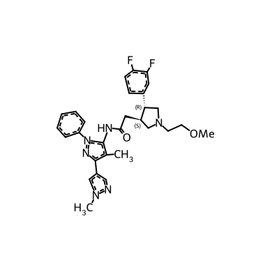 COCCN1C[C@@H](CC(=O)Nc2c(C)c(-c3cnn(C)c3)nn2-c2ccccc2)[C@H](c2ccc(F)c(F)c2)C1